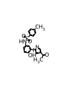 CC(=O)c1cnn(-c2cc(NS(=O)(=O)c3ccc(C)cc3)ccc2O)c1